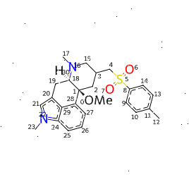 CO[C@]12CC(CS(=O)(=O)c3ccc(C)cc3)CN(C)[C@@H]1Cc1cn(C)c3cccc2c13